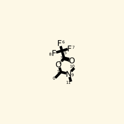 CC(OC(=O)C(F)(F)F)N(C)C